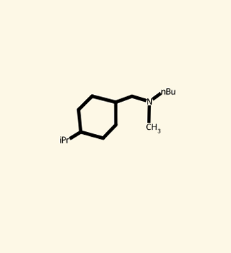 CCCCN(C)CC1CCC(C(C)C)CC1